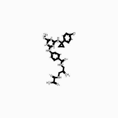 C=C(CNC(=O)C(N)=O)CNC(=O)c1ccc(Nc2nc(NC3(c4ccc(Cl)cc4)CC3)nc(OCC)n2)cc1